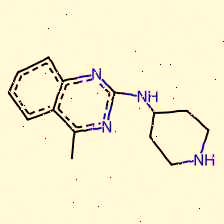 Cc1nc(NC2CCNCC2)nc2ccccc12